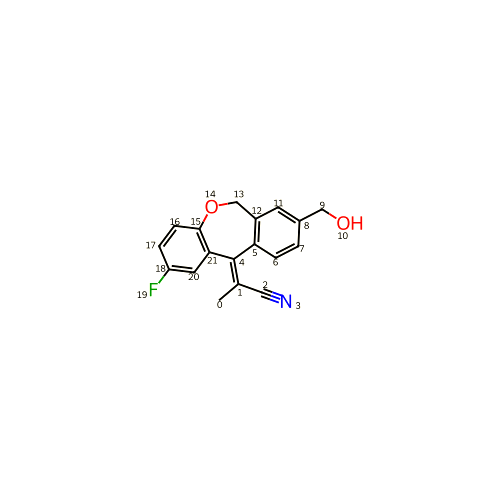 CC(C#N)=C1c2ccc(CO)cc2COc2ccc(F)cc21